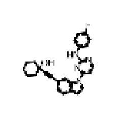 OC1(C#Cc2ccc3ccn(-c4ccnc(Nc5ccc(F)cc5)n4)c3c2)CCCCC1